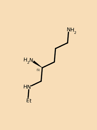 CCNC[C@@H](N)CCCN